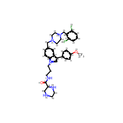 O=C(NCCCn1cc(-c2ccc(OC(F)(F)F)cc2)c2cc(CN3CCN(Cc4c(F)cccc4F)CC3)ccc21)C1CNCCN1